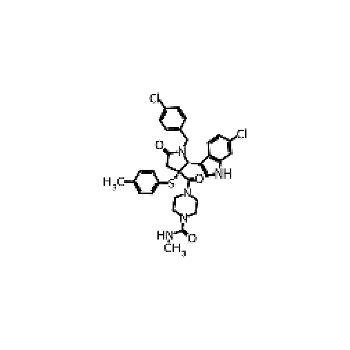 CNC(=O)N1CCN(C(=O)[C@]2(Sc3ccc(C)cc3)CC(=O)N(Cc3ccc(Cl)cc3)[C@H]2c2c[nH]c3cc(Cl)ccc23)CC1